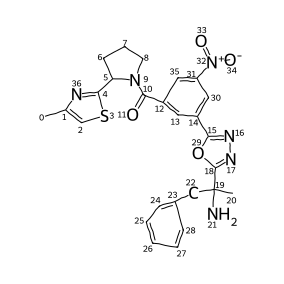 Cc1csc(C2CCCN2C(=O)c2cc(-c3nnc(C(C)(N)Cc4ccccc4)o3)cc([N+](=O)[O-])c2)n1